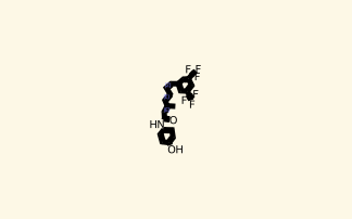 CC(/C=C/C=C\c1cc(C(F)(F)F)cc(C(F)(F)F)c1)=C\C(=O)Nc1ccc(O)cc1